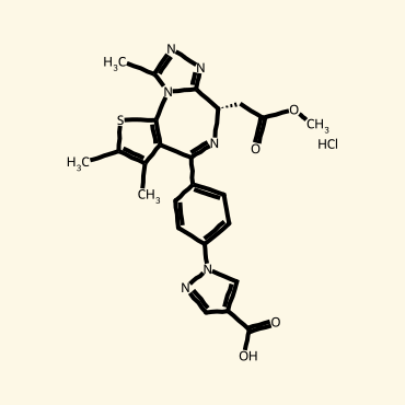 COC(=O)C[C@@H]1N=C(c2ccc(-n3cc(C(=O)O)cn3)cc2)c2c(sc(C)c2C)-n2c(C)nnc21.Cl